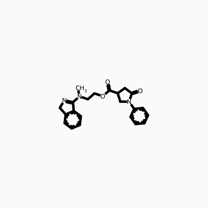 CN(CCOC(=O)C1CC(=O)N(c2ccccc2)C1)C1=NCc2ccccc21